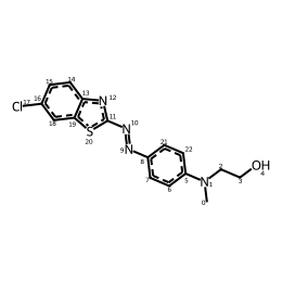 CN(CCO)c1ccc(N=Nc2nc3ccc(Cl)cc3s2)cc1